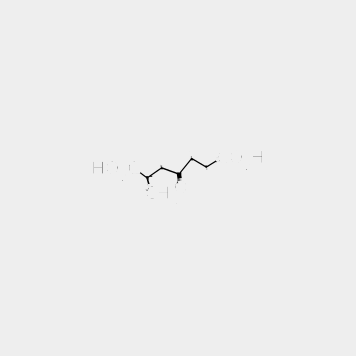 CC(CC(=O)CCC(=O)O)C(=O)O